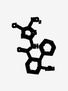 CCCCc1cccc(C(=O)Nc2nc(Cl)c([N+](=O)[O-])s2)c1-c1ccccc1